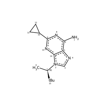 C[C@@H](n1cnc2c(N)nc(C3CC3)nc21)C(C)(C)C